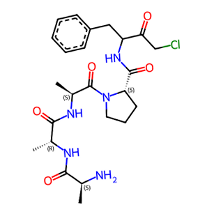 C[C@H](N)C(=O)N[C@H](C)C(=O)N[C@@H](C)C(=O)N1CCC[C@H]1C(=O)NC(Cc1ccccc1)C(=O)CCl